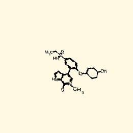 CCS(=N)(=O)c1ccc(OC2CCC(O)CC2)c(-c2cn(C)c(=O)c3[nH]ccc23)c1